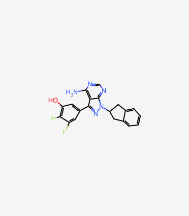 Nc1ncnc2c1c(-c1cc(O)c(F)c(F)c1)nn2C1Cc2ccccc2C1